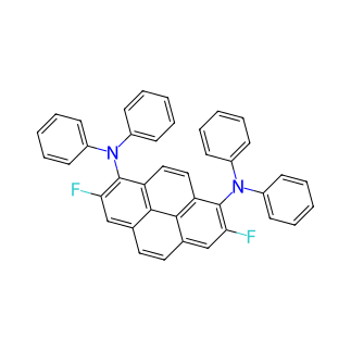 Fc1cc2ccc3cc(F)c(N(c4ccccc4)c4ccccc4)c4ccc(c1N(c1ccccc1)c1ccccc1)c2c34